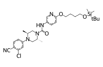 C[C@@H]1CN(c2ccc(C#N)c(Cl)c2)[C@@H](C)CN1C(=O)Nc1ccc(OCCCCO[Si](C)(C)C(C)(C)C)nc1